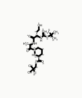 C[C@H](NC(=O)[C@H](CCO)NC(=O)OC(C)(C)C)C(=O)N1CCC[C@@H](C(=O)OCC(Cl)(Cl)Cl)N1